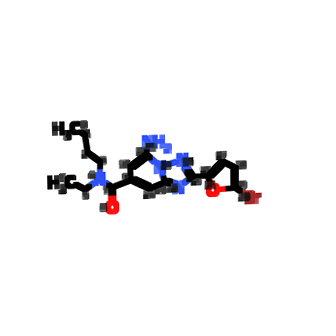 CCCCN(CC)C(=O)c1cc(N)n2nc(-c3ccc(Br)o3)nc2c1